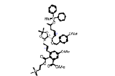 COC(=O)c1cc(OC)cc(/C=C/C[C@@H]2OC(C)(C)O[C@@H]2C(/C=C\CC(C)O[Si](c2ccccc2)(c2ccccc2)C(C)(C)C)OCc2ccc(OC)cc2)c1C(=O)OCC[Si](C)(C)C